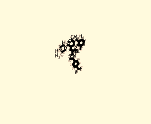 CCc1cccc(CC)c1-n1c(C=C(C)C)c(C(=O)N2CCN[C@H](C)C2)cc(-c2nc(-c3ccc(C(F)F)cc3)cs2)c1=O